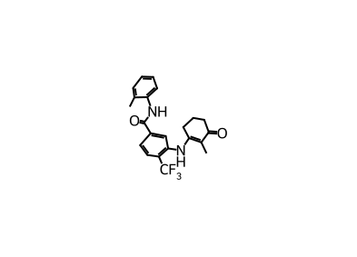 CC1=C(Nc2cc(C(=O)Nc3ccccc3C)ccc2C(F)(F)F)CCCC1=O